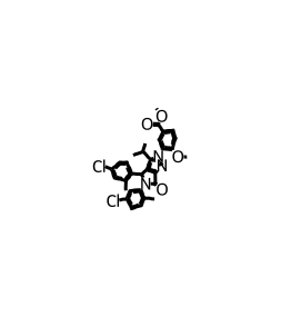 COC(=O)c1ccc(OC)c(-n2nc3c(c2C(C)C)C(c2ccc(Cl)cc2C)N(c2cc(Cl)ccc2C)C3=O)c1